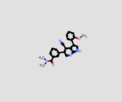 COc1ccccc1-c1c[nH]c2ncc(-c3cccc(C(=O)N(C)C)c3)c(C#N)c12